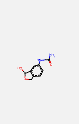 NC(=O)Nc1ccc2c(c1)B(O)OC2